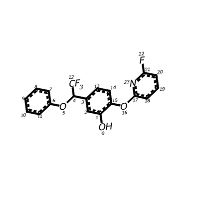 Oc1cc(C(Oc2ccccc2)C(F)(F)F)ccc1Oc1cccc(F)n1